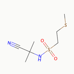 CSCCS(=O)(=O)NC(C)(C)C#N